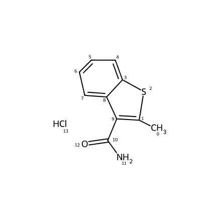 Cc1sc2ccccc2c1C(N)=O.Cl